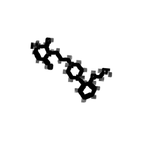 O=c1cc[nH]c(=O)n1CCCN1CCN(c2ccccc2OCC(F)(F)F)CC1